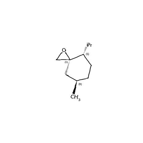 CC(C)[C@@H]1CC[C@@H](C)C[C@@]12CO2